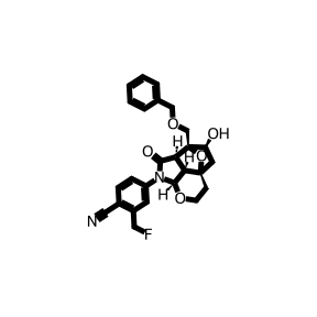 N#Cc1ccc(N2C(=O)[C@@H]3[C@@H]4[C@H]2OCC[C@@]42C[C@H](O)[C@]3(COCc3ccccc3)O2)cc1CF